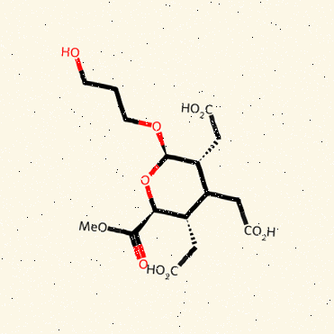 COC(=O)[C@H]1O[C@@H](OCCCO)[C@H](CC(=O)O)C(CC(=O)O)[C@@H]1CC(=O)O